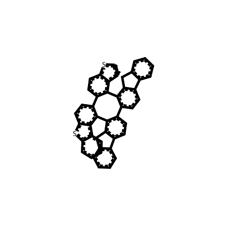 c1ccc2c(c1)Cc1c-2ccc2c1-c1c(ccc3sc4ccccc4c13)-c1ccc3sc4ccccc4c3c1-c1c-2ccc2c1Cc1ccccc1-2